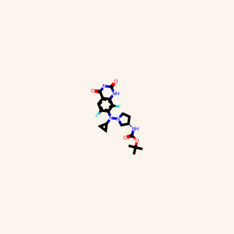 CC(C)(C)OC(=O)N[C@H]1CCN(N(c2c(F)cc3c(c2F)NC(=O)[N]C3=O)C2CC2)C1